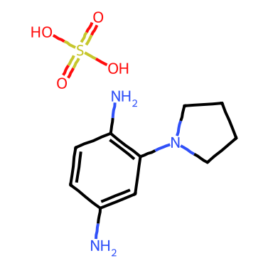 Nc1ccc(N)c(N2CCCC2)c1.O=S(=O)(O)O